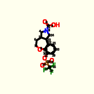 O=C(O)N1CC2CCOc3c(OS(=O)(=O)C(F)(F)F)cccc3C2C1